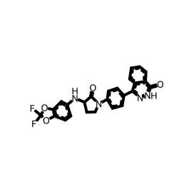 O=C1C(Nc2ccc3c(c2)OC(F)(F)O3)CCN1c1ccc(-c2n[nH]c(=O)c3ccccc23)cc1